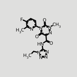 CCn1nnnc1NC(=O)c1nn(C)c(=O)n(-c2ccc(F)c(C)n2)c1=O